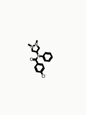 CN1CC(N(C(=O)c2ccc(Cl)cc2)c2ccccc2)CN1C